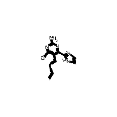 CCCCc1c(Cl)nc(N)nc1-c1ncc[nH]1